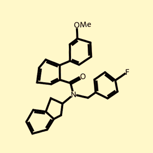 COc1cccc(-c2ccccc2C(=O)N(Cc2ccc(F)cc2)C2Cc3ccccc3C2)c1